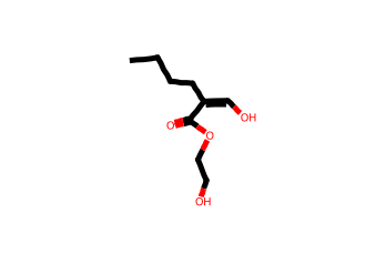 CCCCC(=CO)C(=O)OCCO